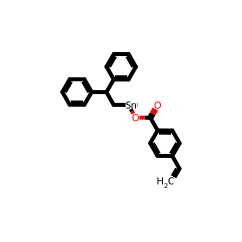 C=Cc1ccc(C(=O)[O][Sn][CH2]C(c2ccccc2)c2ccccc2)cc1